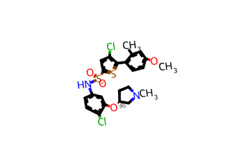 COc1ccc(-c2sc(S(=O)(=O)Nc3ccc(Cl)c(O[C@@H]4CCN(C)C4)c3)cc2Cl)c(C)c1